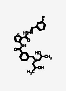 CC(O)CN(Cc1cccc(C(=O)Nc2ccsc2C(=O)NN=Cc2cccc(F)c2)c1)CC(C)O